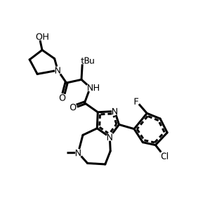 CN1CCCn2c(-c3cc(Cl)ccc3F)nc(C(=O)NC(C(=O)N3CCC(O)C3)C(C)(C)C)c2C1